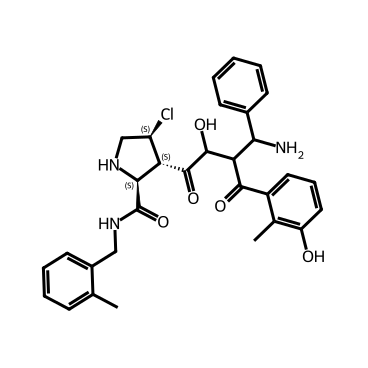 Cc1ccccc1CNC(=O)[C@H]1NC[C@@H](Cl)[C@@H]1C(=O)C(O)C(C(=O)c1cccc(O)c1C)C(N)c1ccccc1